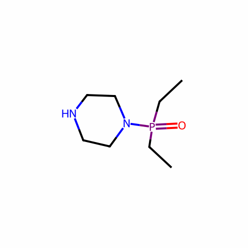 CCP(=O)(CC)N1CCNCC1